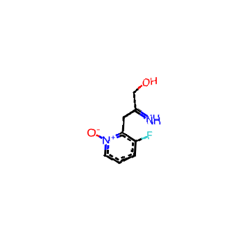 N=C(CO)Cc1c(F)ccc[n+]1[O-]